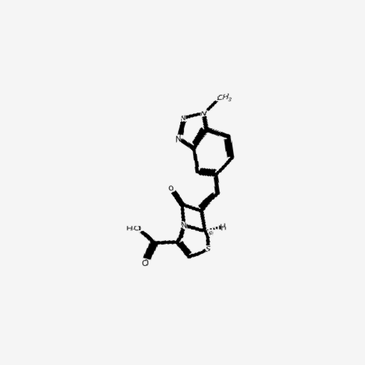 Cn1nnc2cc(C=C3C(=O)N4C(C(=O)O)=CS[C@H]34)ccc21